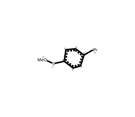 COSc1ccc(C(C)C)cc1